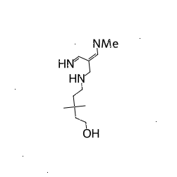 CN/C=C(\C=N)CNCCC(C)(C)CCO